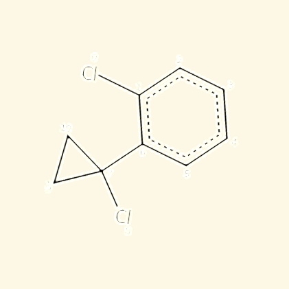 Clc1ccccc1C1(Cl)[CH]C1